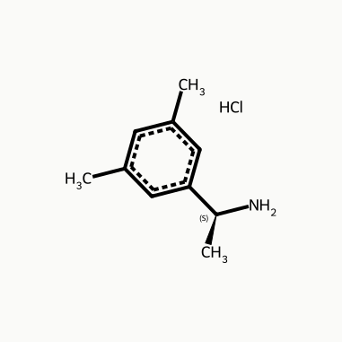 Cc1cc(C)cc([C@H](C)N)c1.Cl